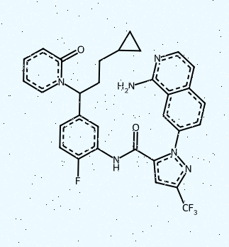 Nc1nccc2ccc(-n3nc(C(F)(F)F)cc3C(=O)Nc3cc(C(CCC4CC4)n4ccccc4=O)ccc3F)cc12